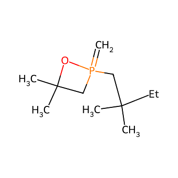 C=P1(CC(C)(C)CC)CC(C)(C)O1